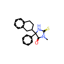 CN1C(=O)C(c2ccccc2)(C2CCc3ccccc3C2)NC1=S